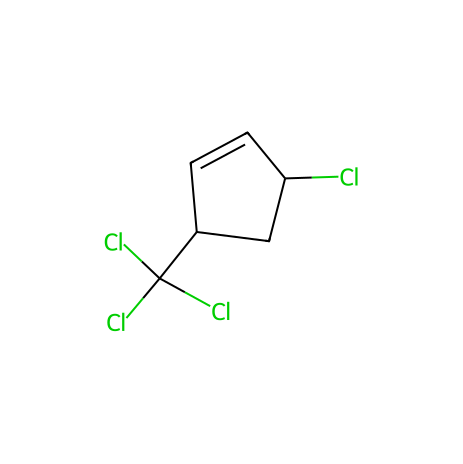 ClC1C=CC(C(Cl)(Cl)Cl)C1